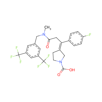 CN(Cc1cc(C(F)(F)F)cc(C(F)(F)F)c1)C(=O)C/C(=C1\CCN(C(=O)O)C1)c1ccc(F)cc1